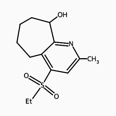 CCS(=O)(=O)c1cc(C)nc2c1CCCCC2O